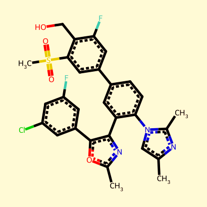 Cc1cn(-c2ccc(-c3cc(F)c(CO)c(S(C)(=O)=O)c3)cc2-c2nc(C)oc2-c2cc(F)cc(Cl)c2)c(C)n1